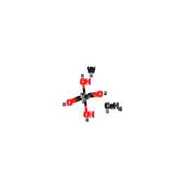 O=[Te](=O)(O)O.[GeH4].[W]